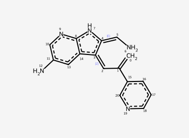 C=C(/C=c1\c(=C/N)[nH]c2ncc(N)cc12)c1cccnc1